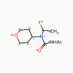 CC(=O)NC(=O)N(C(C)F)C1CCOCC1